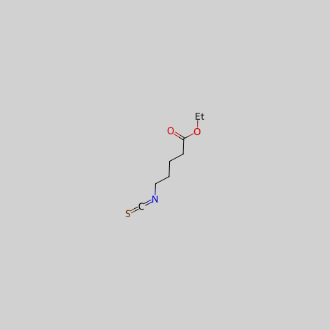 CCOC(=O)CCCCN=C=S